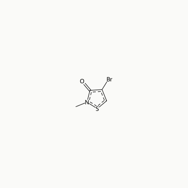 Cn1scc(Br)c1=O